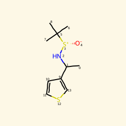 CC(N[S@@+]([O-])C(C)(C)C)c1ccsc1